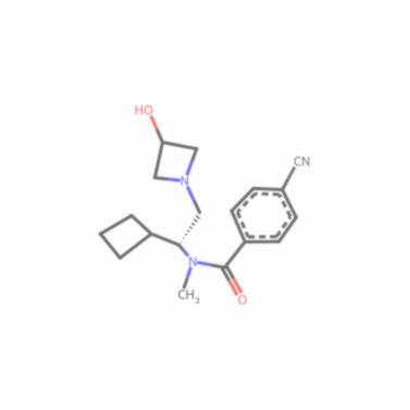 CN(C(=O)c1ccc(C#N)cc1)[C@@H](CN1CC(O)C1)C1CCC1